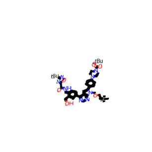 CC(C)(C)OC(=O)N1CCN(c2ccc(-c3cc4c(-c5ccc(CNC(=O)c6nc(C(C)(C)C)no6)c(CO)c5)ncnc4n3COCC[Si](C)(C)C)cc2)CC1